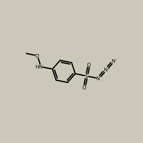 CONc1ccc(S(=O)(=O)N=[N+]=[N-])cc1